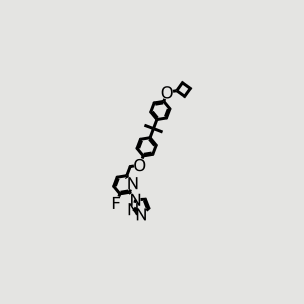 CC(C)(c1ccc(OCc2ccc(F)c(-n3ccnn3)n2)cc1)c1ccc(OC2CCC2)cc1